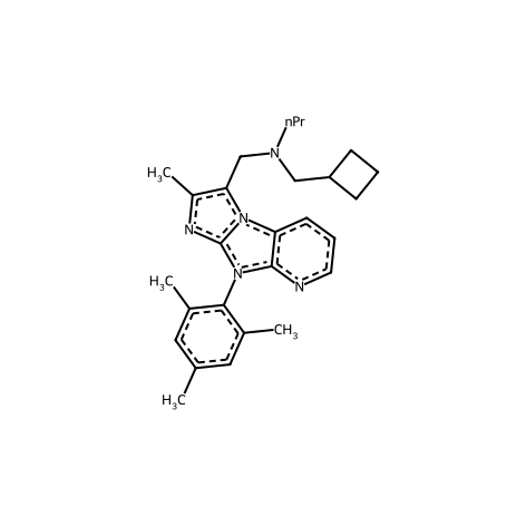 CCCN(Cc1c(C)nc2n(-c3c(C)cc(C)cc3C)c3ncccc3n12)CC1CCC1